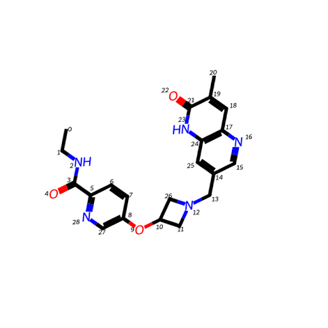 CCNC(=O)c1ccc(OC2CN(Cc3cnc4cc(C)c(=O)[nH]c4c3)C2)cn1